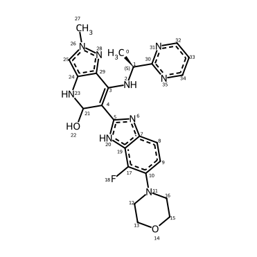 C[C@H](NC1=C(c2nc3ccc(N4CCOCC4)c(F)c3[nH]2)C(O)Nc2cn(C)nc21)c1ncccn1